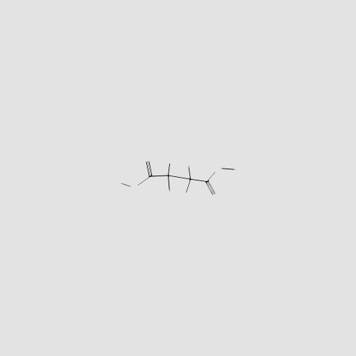 O=C(OCl)C(Cl)(Cl)C(Cl)(Cl)C(=O)OCl